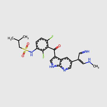 CN/C=C(\C=N)c1cnc2[nH]cc(C(=O)c3c(F)ccc(NS(=O)(=O)CC(C)C)c3F)c2c1